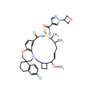 COC1/C=C/CC(C)C(C)S(=O)(NC(=O)c2cnn(C3COC3)c2)=NC(=O)c2ccc3c(c2)N(CC2CCC21)CC1(CCCc2cc(Cl)ccc21)CO3